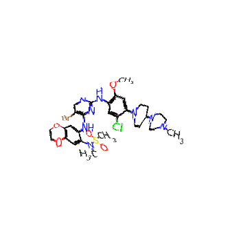 COc1cc(N2CCC(N3CCN(C)CC3)CC2)c(Cl)cc1Nc1ncc(Br)c(Nc2cc3c(cc2N(C)S(C)(=O)=O)OCCO3)n1